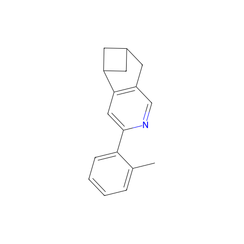 Cc1ccccc1-c1cc2c(cn1)CC1CC2C1